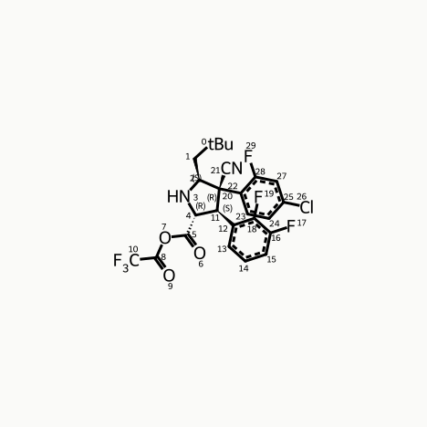 CC(C)(C)C[C@@H]1N[C@@H](C(=O)OC(=O)C(F)(F)F)[C@H](c2cccc(F)c2F)[C@@]1(C#N)c1ccc(Cl)cc1F